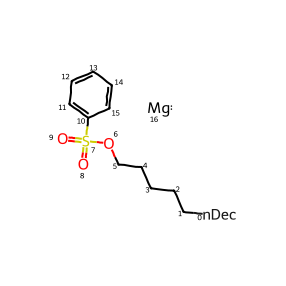 CCCCCCCCCCCCCCCOS(=O)(=O)c1ccccc1.[Mg]